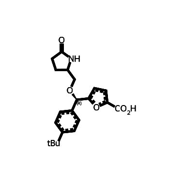 CC(C)(C)c1ccc([C@@H](OCC2CCC(=O)N2)c2ccc(C(=O)O)o2)cc1